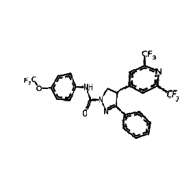 O=C(Nc1ccc(OC(F)(F)F)cc1)N1CC(c2cc(C(F)(F)F)nc(C(F)(F)F)c2)C(c2ccccc2)=N1